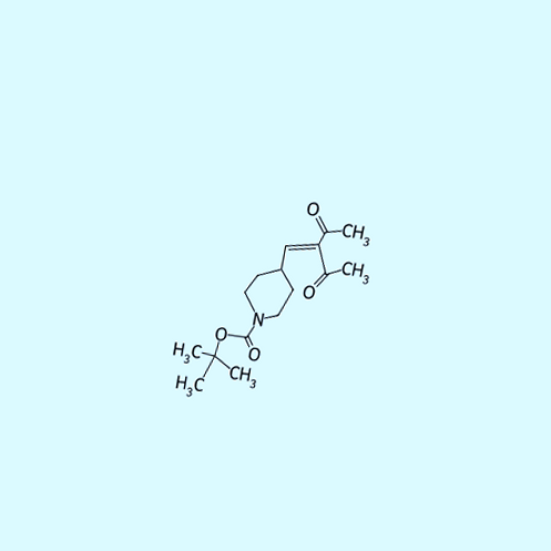 CC(=O)C(=CC1CCN(C(=O)OC(C)(C)C)CC1)C(C)=O